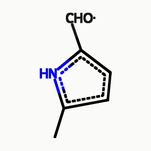 Cc1ccc([C]=O)[nH]1